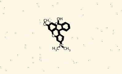 COc1ccc2c(-c3ccccc3C(=O)O)c3ccc(=[N+](C)C)cc-3oc2c1